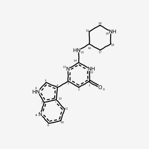 O=c1cc(-c2c[nH]c3ncccc23)nc(NC2CCNCC2)[nH]1